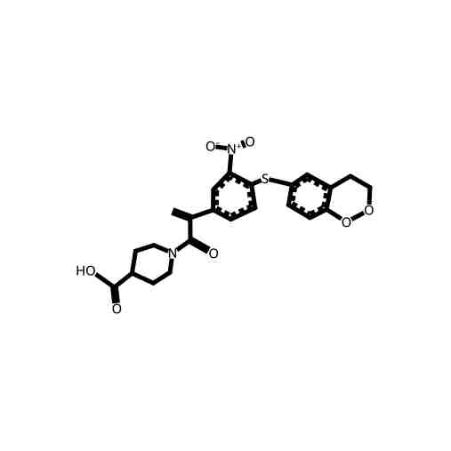 C=C(C(=O)N1CCC(C(=O)O)CC1)c1ccc(Sc2ccc3c(c2)CCOO3)c([N+](=O)[O-])c1